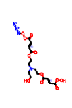 [N-]=[N+]=NOOC(=O)/C=C/C(=O)OCCN(CCO)CCOC(=O)/C=C/C(=O)OO